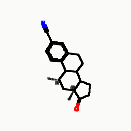 C[C@H]1C[C@]2(C)C(=O)CCC2C2CCc3cc(C#N)ccc3C21